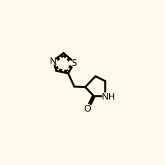 O=C1NCCC1Cc1cncs1